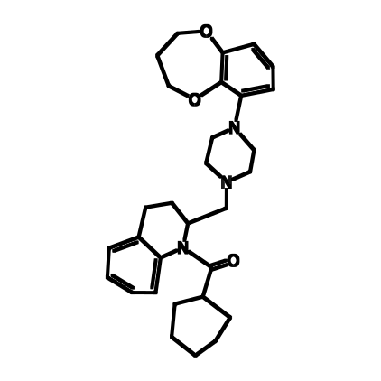 O=C(C1CCCCC1)N1c2ccccc2CCC1CN1CCN(c2cccc3c2OCCCO3)CC1